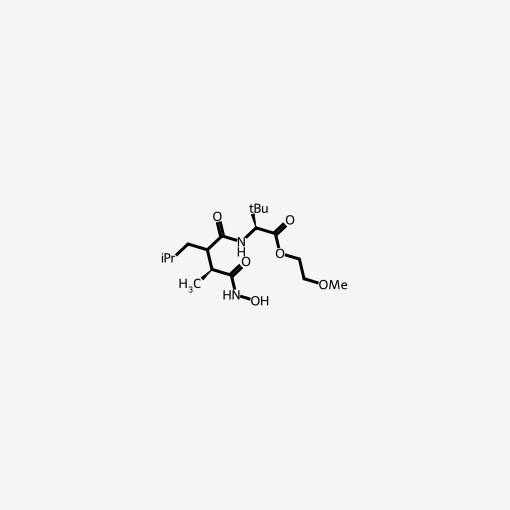 COCCOC(=O)[C@@H](NC(=O)C(CC(C)C)[C@H](C)C(=O)NO)C(C)(C)C